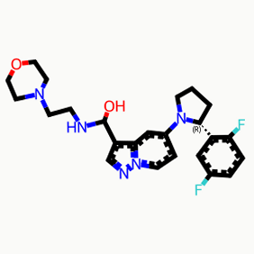 OC(NCCN1CCOCC1)c1cnn2ccc(N3CCC[C@@H]3c3cc(F)ccc3F)cc12